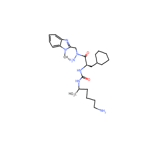 Cn1c(CN(N)C(=O)[C@@H](CC2CCCCC2)NC(=O)NC(CCCCN)C(=O)O)nc2ccccc21